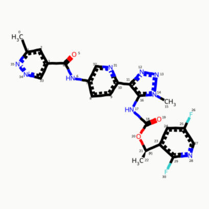 Cc1cc(C(=O)Nc2ccc(-c3nnn(C)c3NC(=O)O[C@H](C)c3cc(F)cnc3F)nc2)cnn1